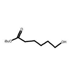 CC(C)COC(=O)CCCCCO